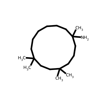 CC1(C)CCCCCCC(C)(N)CCCC(C)(C)CC1